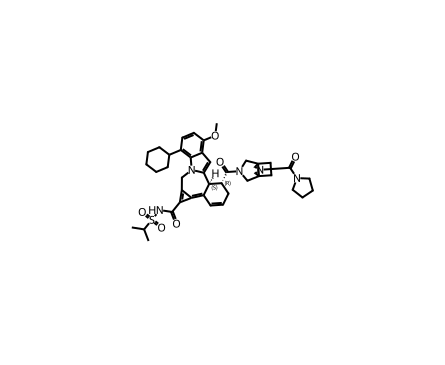 COc1ccc(C2CCCCC2)c2c1cc1n2CC2=C(C(=O)NS(=O)(=O)C(C)C)C2=C2C=CC[C@@H](C(=O)N3CC45CCC4(C3)CN(C(=O)N3CCCC3)C5)[C@@H]21